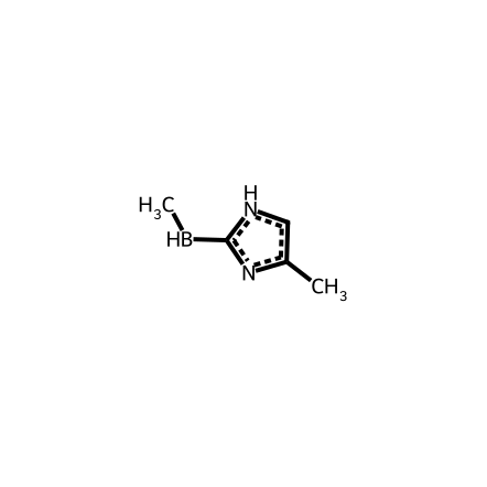 CBc1nc(C)c[nH]1